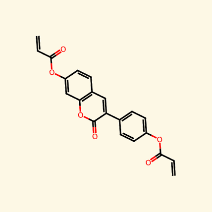 C=CC(=O)Oc1ccc(-c2cc3ccc(OC(=O)C=C)cc3oc2=O)cc1